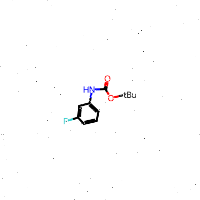 CC(C)(C)OC(=O)Nc1cc[c]c(F)c1